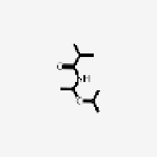 CC(C)OC(C)NC(=O)C(C)C